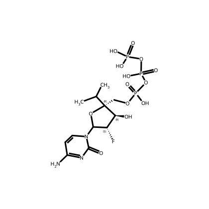 CC(C)[C@]1(COP(=O)(O)OP(=O)(O)OP(=O)(O)O)OC(n2ccc(N)nc2=O)[C@@H](F)[C@@H]1O